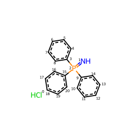 Cl.N=P(c1ccccc1)(c1ccccc1)c1ccccc1